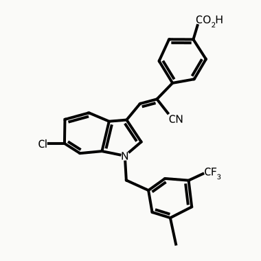 Cc1cc(Cn2cc(/C=C(\C#N)c3ccc(C(=O)O)cc3)c3ccc(Cl)cc32)cc(C(F)(F)F)c1